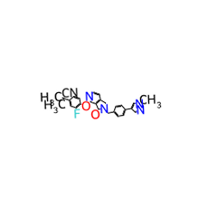 Cn1cc(-c2ccc(CN3Cc4ccnc(Oc5ccc(C(C)(C)C#N)cc5F)c4C3=O)cc2)cn1